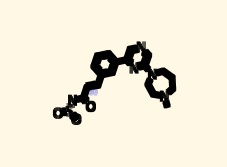 CN1CCCN(c2cncc(-c3cccc(/C=C/C(=O)N=S(=O)=O)c3)n2)CC1